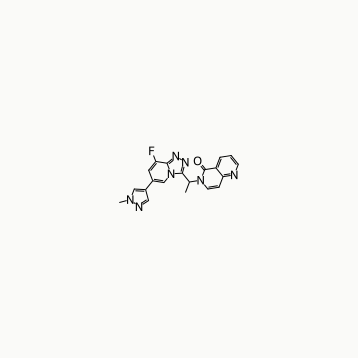 CC(c1nnc2c(F)cc(-c3cnn(C)c3)cn12)n1ccc2ncccc2c1=O